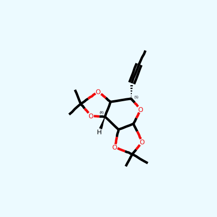 CC#C[C@@H]1OC2OC(C)(C)OC2[C@@H]2OC(C)(C)OC21